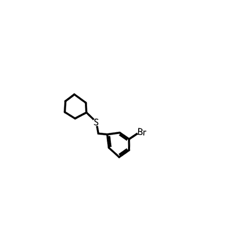 Brc1cccc(CSC2CCCCC2)c1